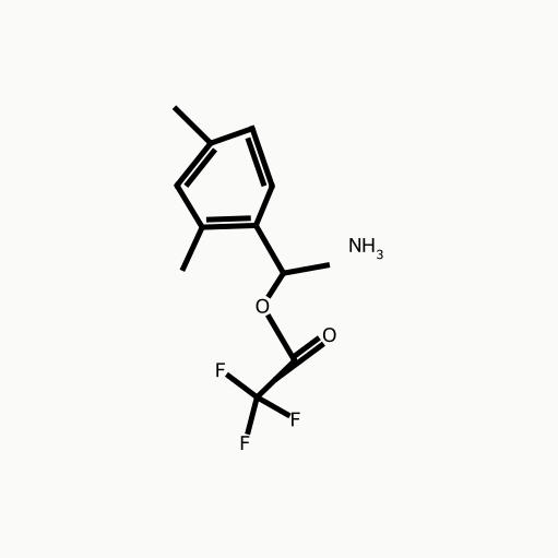 Cc1ccc(C(C)OC(=O)C(F)(F)F)c(C)c1.N